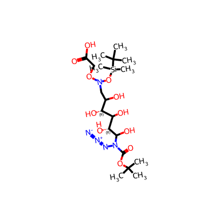 CC(C)(C)OC(=O)N(N=[N+]=[N-])C(O)[C@H](O)C(O)[C@H](O)C(O)CN(OCC(=O)O)O[Si](C)(C)C(C)(C)C